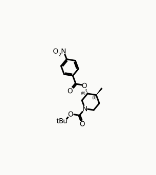 C[C@H]1CCN(C(=O)OC(C)(C)C)C[C@@H]1OC(=O)c1ccc([N+](=O)[O-])cc1